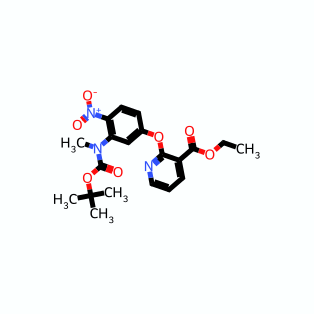 CCOC(=O)c1cccnc1Oc1ccc([N+](=O)[O-])c(N(C)C(=O)OC(C)(C)C)c1